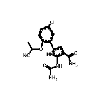 CC(C#N)Oc1ccc(Cl)cc1-c1cc(C(N)=O)c(NC(N)=O)[nH]1